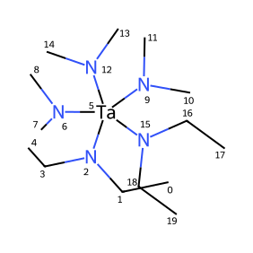 CC[N](CC)[Ta]([N](C)C)([N](C)C)([N](C)C)[N](CC)CC